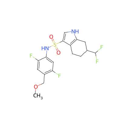 COCc1cc(F)c(NS(=O)(=O)c2c[nH]c3c2CCC(C(F)F)C3)cc1F